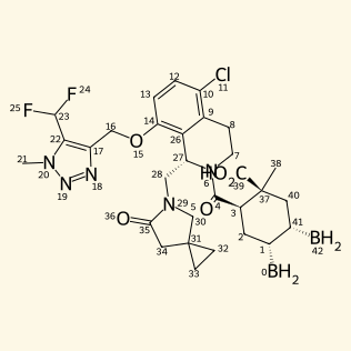 B[C@@H]1C[C@@H](C(=O)N2CCc3c(Cl)ccc(OCc4nnn(C)c4C(F)F)c3[C@H]2CN2CC3(CC3)CC2=O)[C@@](C)(C(=O)O)C[C@@H]1B